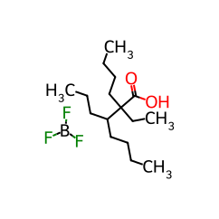 CCCCC(CCC)C(CC)(CCCC)C(=O)O.FB(F)F